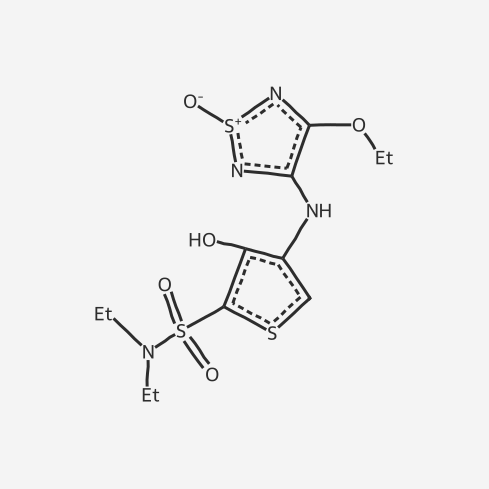 CCOc1n[s+]([O-])nc1Nc1csc(S(=O)(=O)N(CC)CC)c1O